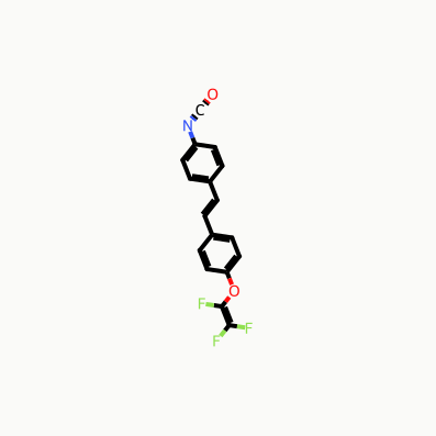 O=C=Nc1ccc(C=Cc2ccc(OC(F)=C(F)F)cc2)cc1